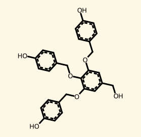 OCc1cc(OCc2ccc(O)cc2)c(OCc2ccc(O)cc2)c(OCc2ccc(O)cc2)c1